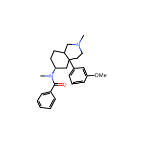 COc1cccc(C23CCN(C)CC2CC[C@H](N(C)C(=O)c2ccccc2)C3)c1